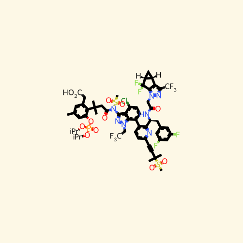 Cc1cc(CC(=O)O)c(C(C)(C)CC(=O)N(c2nn(CC(F)(F)F)c3c(-c4ccc(C#CC(C)(C)S(C)(=O)=O)nc4[C@H](Cc4cc(F)cc(F)c4)NC(=O)Cn4nc(C(F)(F)F)c5c4C(F)(F)[C@@H]4C[C@H]54)ccc(Cl)c23)S(C)(=O)=O)c(OP(=O)(OC(C)C)OC(C)C)c1